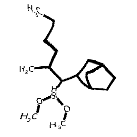 CCCCC(C)C(C1CC2CCC1C2)[SiH](OC)OC